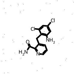 NC(=O)c1ncccc1Cc1c(N)cc(Cl)cc1Cl